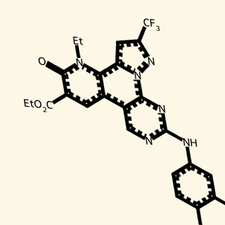 CCOC(=O)c1cc2c3cnc(Nc4ccc(F)c(Cl)c4)nc3n3nc(C(F)(F)F)cc3c2n(CC)c1=O